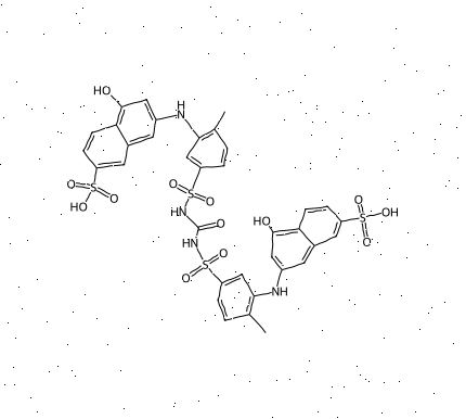 Cc1ccc(S(=O)(=O)NC(=O)NS(=O)(=O)c2ccc(C)c(Nc3cc(O)c4ccc(S(=O)(=O)O)cc4c3)c2)cc1Nc1cc(O)c2ccc(S(=O)(=O)O)cc2c1